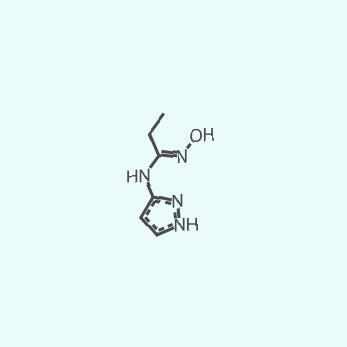 CCC(=NO)Nc1cc[nH]n1